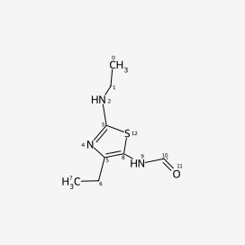 CCNc1nc(CC)c(N[C]=O)s1